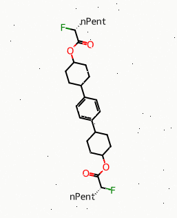 CCCCC[C@@H](F)C(=O)OC1CCC(c2ccc(C3CCC(OC(=O)[C@H](F)CCCCC)CC3)cc2)CC1